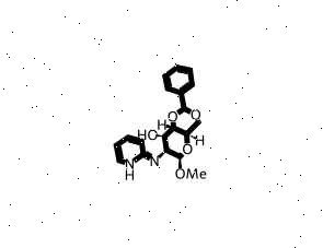 CO[C@@H]1O[C@@H]2COC(c3ccccc3)O[C@H]2[C@@H](O)[C@@H]1N=c1cccc[nH]1